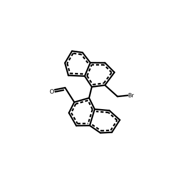 O=Cc1ccc2ccccc2c1-c1c(CBr)ccc2ccccc12